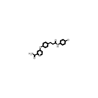 NC(=O)c1cc(Oc2ccc(CCC(=O)Nc3ccc(Cl)cc3)cc2)ccn1